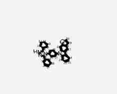 c1ccc(C2=NNC(c3ccccc3)N2c2ccc(-n3c4ccccc4c4cc5ccoc5cc43)cc2)cc1